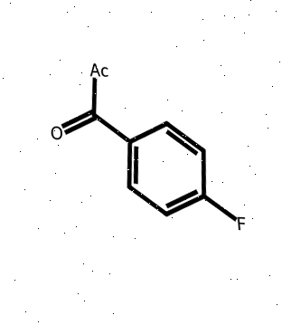 CC(=O)C(=O)c1ccc(F)cc1